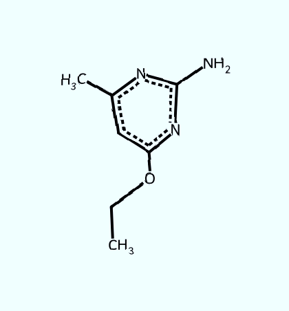 CCOc1cc(C)nc(N)n1